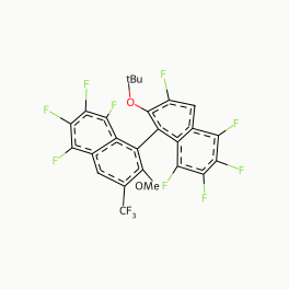 COc1c(C(F)(F)F)cc2c(F)c(F)c(F)c(F)c2c1-c1c(OC(C)(C)C)c(F)cc2c(F)c(F)c(F)c(F)c12